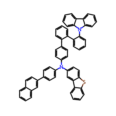 c1ccc(-c2ccccc2-n2c3ccccc3c3ccccc32)c(-c2ccc(N(c3ccc(-c4ccc5ccccc5c4)cc3)c3ccc4sc5ccccc5c4c3)cc2)c1